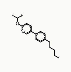 CCCCCc1ccc(-c2ccc(OC(F)F)nc2)cc1